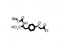 CCC(=O)C[S+]([O-])c1ccc(CC(NC(=O)OC(C)(C)C)C(=O)O)cc1